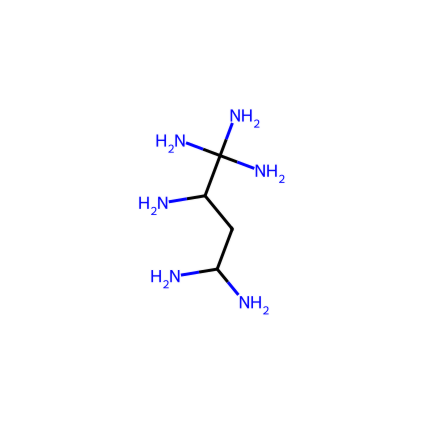 NC(N)CC(N)C(N)(N)N